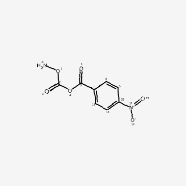 NOC(=O)OC(=O)c1ccc([N+](=O)[O-])cc1